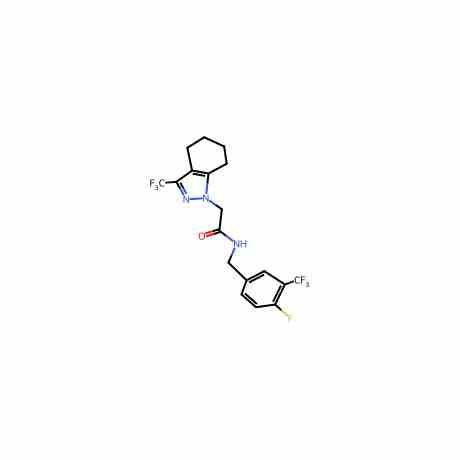 O=C(Cn1nc(C(F)(F)F)c2c1CCCC2)NCc1ccc(F)c(C(F)(F)F)c1